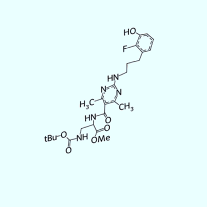 COC(=O)C(CNC(=O)OC(C)(C)C)NC(=O)c1c(C)nc(NCCCc2cccc(O)c2F)nc1C